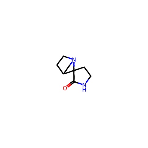 O=C1NCCC12C1CCN2CC1